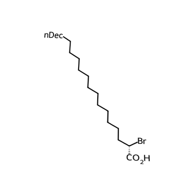 CCCCCCCCCCCCCCCCCCCCCC[C@H](Br)C(=O)O